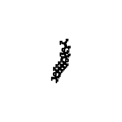 FC(F)=C(F)OC(F)(F)C(F)(F)OC(F)(F)C(F)(F)C(F)(F)C(F)(F)OC(F)(F)F